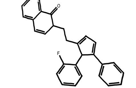 O=C1c2ccccc2C=CC1CCC1=CC=C(c2ccccc2)C1c1ccccc1F